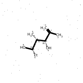 C=C(C)[C@H](O)[C@@H](C)[C@@H](O)CC